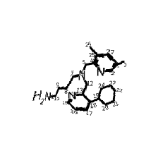 Cc1cnc(CN(CCCCN)CC2N=CC=CC2C2CCCCC2)c(C)c1